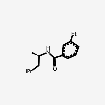 CCc1cccc(C(=O)N[C@H](C)CC(C)C)c1